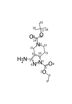 CCOC(=O)n1nc(N)c2c1CCN(C(=O)OC(C)(C)C)C2